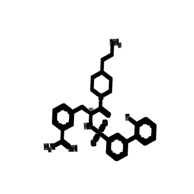 C=C([C@H](Cc1cccc(C(=N)N)c1)NS(=O)(=O)c1cccc(-c2ccccc2F)c1)N1CCC(CCN)CC1